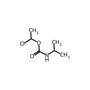 CC(C)NC(=O)OC(C)Cl